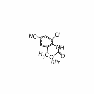 CCCOC(=O)Nc1c(C)cc(C#N)cc1Cl